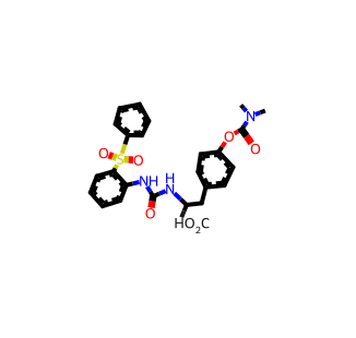 CN(C)C(=O)Oc1ccc(CC(NC(=O)Nc2ccccc2S(=O)(=O)c2ccccc2)C(=O)O)cc1